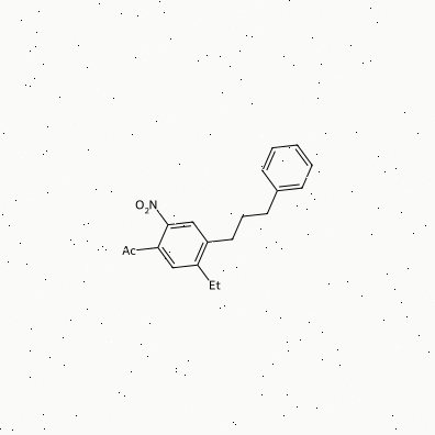 CCc1cc(C(C)=O)c([N+](=O)[O-])cc1CCCc1ccccc1